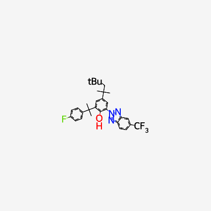 CC(C)(C)CC(C)(C)c1cc(-n2nc3ccc(C(F)(F)F)cc3n2)c(O)c(C(C)(C)c2ccc(F)cc2)c1